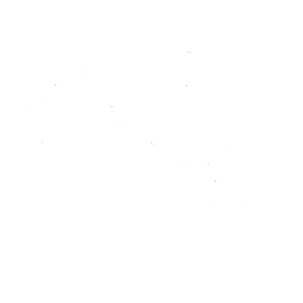 CCN(CCN(C(=O)CNCC(=O)N(C)N1Cc2ccc(F)cc2C1)c1cc(-c2noc(C(F)F)n2)ccc1C)C(=O)OC(C)(C)C